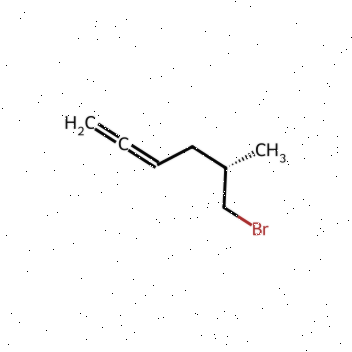 C=C=CC[C@H](C)CBr